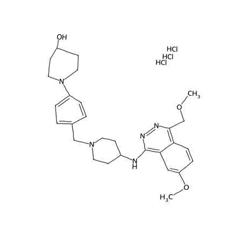 COCc1nnc(NC2CCN(Cc3ccc(N4CCC(O)CC4)cc3)CC2)c2cc(OC)ccc12.Cl.Cl.Cl